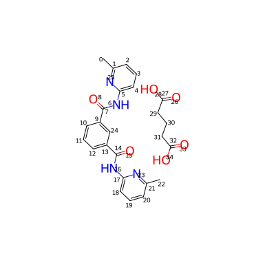 Cc1cccc(NC(=O)c2cccc(C(=O)Nc3cccc(C)n3)c2)n1.O=C(O)CCCC(=O)O